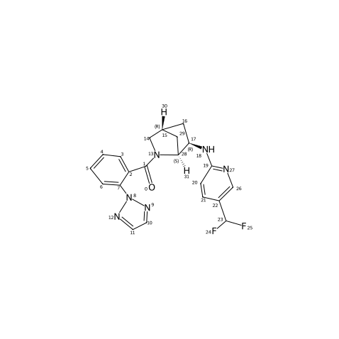 O=C(c1ccccc1-n1nccn1)N1C[C@@H]2C[C@@H](Nc3ccc(C(F)F)cn3)[C@@H]1C2